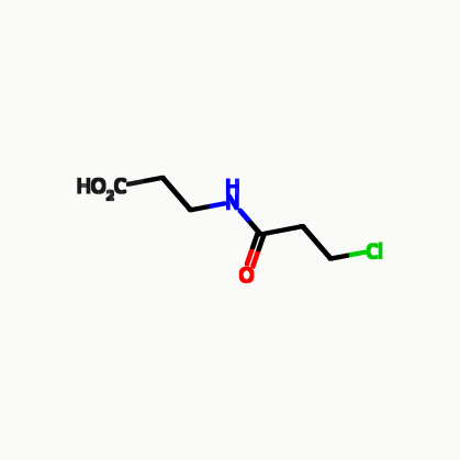 O=C(O)CCNC(=O)CCCl